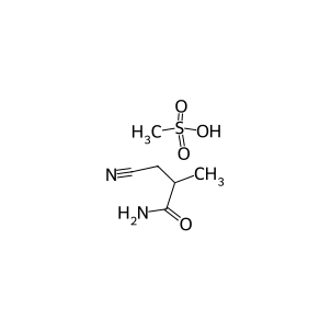 CC(CC#N)C(N)=O.CS(=O)(=O)O